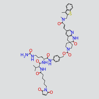 Cc1c(CN(C)C(=O)/C=C/c2cnc3c(c2)CC2(CCN(C(=O)OCc4ccc(NC(=O)[C@H](CCCNC(N)=O)NC(=O)[C@@H](NC(=O)CCCCCN5C(=O)C=CC5=O)C(C)C)cc4)CC2)C(=O)N3)sc2ccccc12